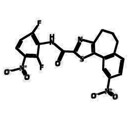 O=C(Nc1c(F)ccc([N+](=O)[O-])c1F)c1nc2c(s1)-c1cc([N+](=O)[O-])ccc1CCC2